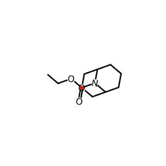 CCOC(=O)N1C2CCCC1COC2